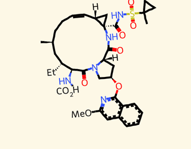 CC[C@@H]1C[C@@H](C)CC/C=C\[C@@H]2C[C@@]2(C(=O)NS(=O)(=O)C2(C)CC2)NC(=O)[C@@H]2C[C@@H](Oc3nc(OC)cc4ccccc34)CN2C(=O)[C@H]1NC(=O)O